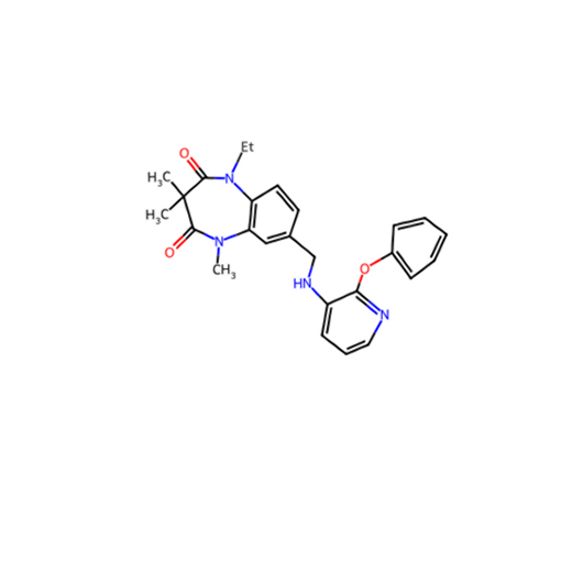 CCN1C(=O)C(C)(C)C(=O)N(C)c2cc(CNc3cccnc3Oc3ccccc3)ccc21